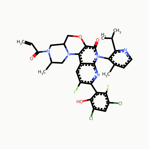 C=CC(=O)N1CC2COc3c(c4cc(F)c(-c5c(O)c(Cl)cc(Cl)c5F)nc4n(-c4c(C)ccnc4C(C)C)c3=O)N2CC1C